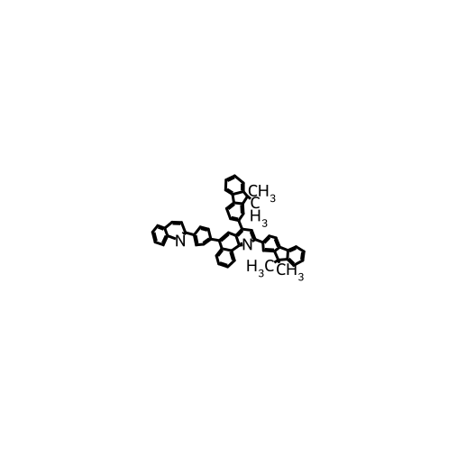 CC1(C)c2ccccc2-c2ccc(-c3cc(-c4ccc5c(c4)C(C)(C)c4ccccc4-5)c4cc(-c5ccc(-c6ccc7ccccc7n6)cc5)c5ccccc5c4n3)cc21